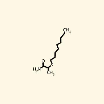 CCCCCCCCCSC(C)C(N)=O